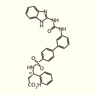 O=C(O)C[C@@H](NS(=O)(=O)c1ccc(-c2cccc(NC(=O)Nc3nc4ccccc4[nH]3)c2)cc1)c1ccccc1